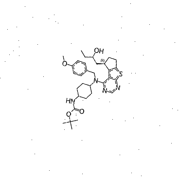 CCC(O)C[C@H]1CCc2sc3ncnc(N(Cc4ccc(OC)cc4)C4CCC(NC(=O)OC(C)(C)C)CC4)c3c21